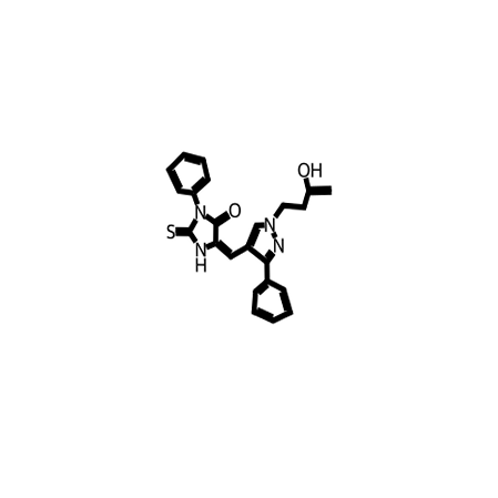 C=C(O)CCn1cc(/C=C2/NC(=S)N(c3ccccc3)C2=O)c(-c2ccccc2)n1